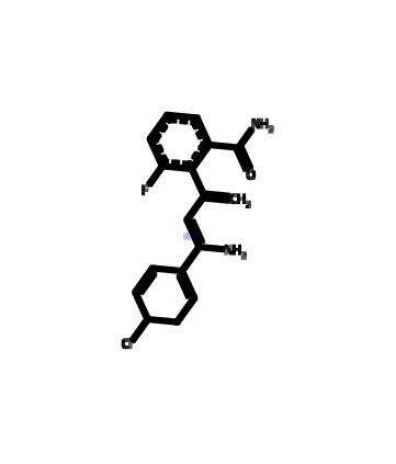 C=C(/C=C(\N)C1=CCC(Cl)C=C1)c1c(F)cccc1C(N)=O